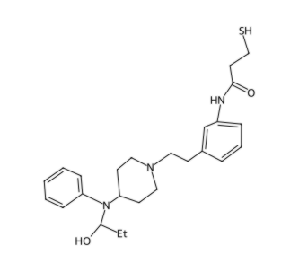 CCC(O)N(c1ccccc1)C1CCN(CCc2cccc(NC(=O)CCS)c2)CC1